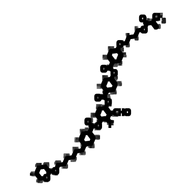 C=C(C(=O)OCCCCOc1ccc(C(=O)Oc2ccc(C(=O)Oc3ccc(OC(=O)c4ccc(CCCCCCOC5CCCCO5)cc4)c(F)c3C=O)cc2)cc1)C(F)(F)F